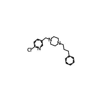 Clc1ccc(CN2CCN(CCCc3ccccc3)CC2)cn1